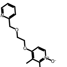 Cc1c(OCCOCc2ccccn2)cc[n+]([O-])c1C